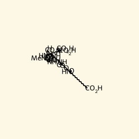 CN[C@@H](Cc1c[nH]cn1)C(=O)N[C@@H](CCC(=O)O)C(=O)N[C@@H](CCCCN(CC(=O)O)CC(=O)O)C(=O)N[C@@H](CCCCNC(=O)COCCOCCNC(=O)CCCCCCCCCCCCCCCC(=O)O)C(N)=O